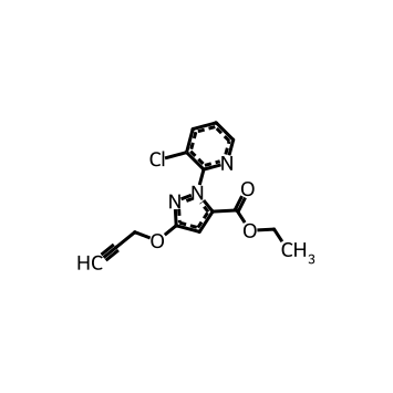 C#CCOc1cc(C(=O)OCC)n(-c2ncccc2Cl)n1